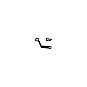 O=CCl.[Co]